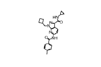 Cc1ccc(C(=O)Nc2ccc3c(C(=O)NC4CC4)nn(CC4CCC4)c3n2)cc1